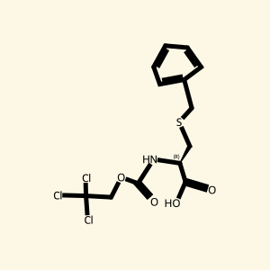 O=C(N[C@@H](CSCc1ccccc1)C(=O)O)OCC(Cl)(Cl)Cl